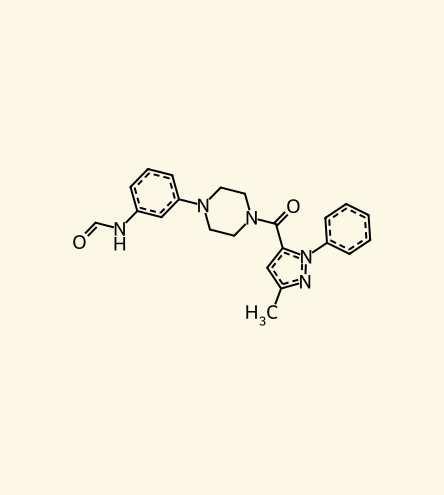 Cc1cc(C(=O)N2CCN(c3cccc(NC=O)c3)CC2)n(-c2ccccc2)n1